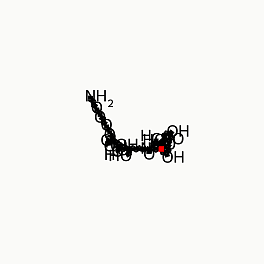 NCCCOCCOCCOCCOCC(COP(=O)(O)OCC(CO)CCCCNC(=O)C1=CC(C=O)=C(C2(O)c3ccc(O)cc3OC3C=C(O)C=CC32)CC1)[PH](=O)O